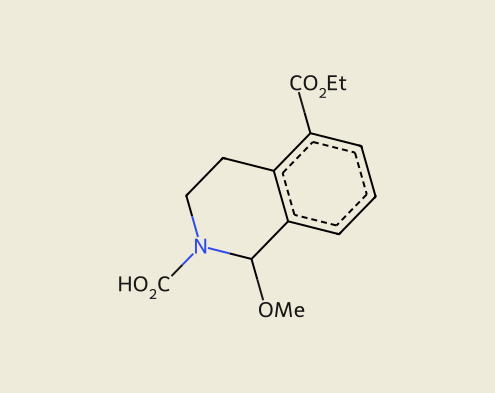 CCOC(=O)c1cccc2c1CCN(C(=O)O)C2OC